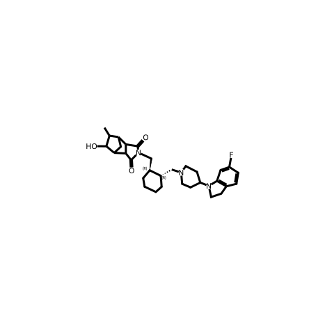 CC1C(O)C2CC1C1C(=O)N(C[C@@H]3CCCC[C@H]3CN3CCC(N4CCc5ccc(F)cc54)CC3)C(=O)C21